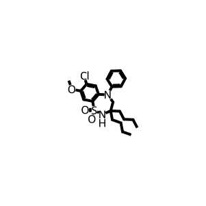 CCCCC1(CCCC)CN(c2ccccc2)c2cc(Cl)c(OC)cc2S(=O)(=O)N1